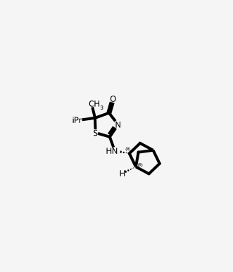 CC(C)C1(C)SC(N[C@@H]2CC3CC[C@@H]2C3)=NC1=O